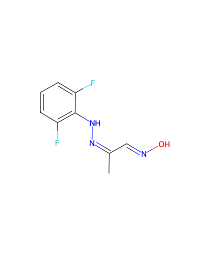 CC(C=NO)=NNc1c(F)cccc1F